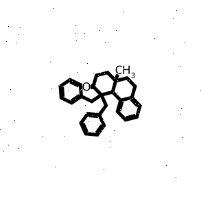 CC12CCC(=O)C(Cc3ccccc3)(Cc3ccccc3)C1c1ccccc1CC2